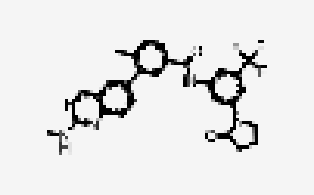 CNc1ncc2cc(-c3cc(C(=O)Nc4cc(N5CCCC5=O)cc(C(F)(F)F)c4)ccc3C)ccc2n1